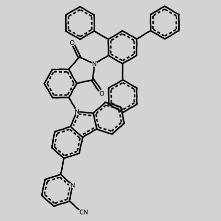 N#Cc1cccc(-c2ccc3c(c2)c2ccccc2n3-c2cccc3c2C(=O)N(c2c(-c4ccccc4)cc(-c4ccccc4)cc2-c2ccccc2)C3=O)n1